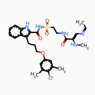 C/C=N\C=C(/NC)C(=O)NCCS(=O)(=O)NC(=O)c1[nH]c2ccccc2c1CCCOc1cc(C)c(Cl)c(C)c1